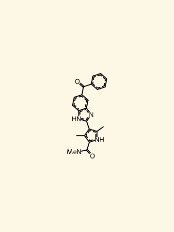 CNC(=O)c1[nH]c(C)c(-c2nc3cc(C(=O)c4ccccc4)ccc3[nH]2)c1C